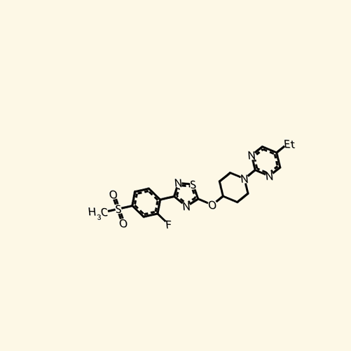 CCc1cnc(N2CCC(Oc3nc(-c4ccc(S(C)(=O)=O)cc4F)ns3)CC2)nc1